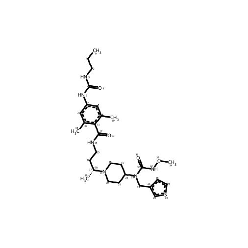 CCCNC(=O)Nc1cc(C)c(C(=O)NCC[C@@H](C)N2CCC(N(Cc3ccsc3)C(=O)NOC)CC2)c(C)c1